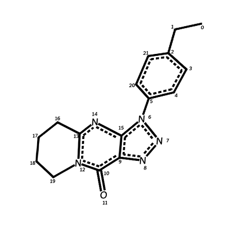 CCc1ccc(-n2nnc3c(=O)n4c(nc32)CCCC4)cc1